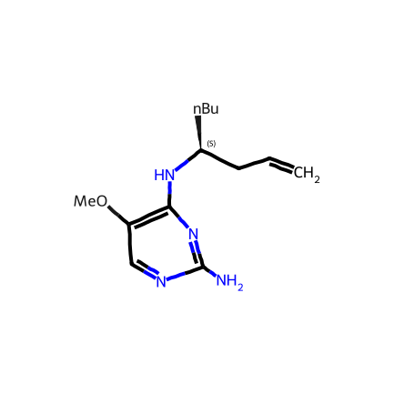 C=CC[C@H](CCCC)Nc1nc(N)ncc1OC